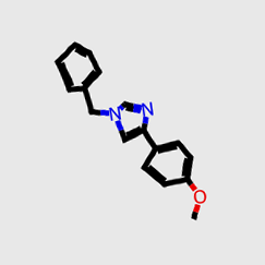 COc1ccc(-c2cn(Cc3ccccc3)cn2)cc1